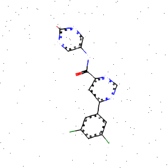 O=C(Nc1cnc(O)nc1)c1cc(-c2cc(F)cc(Cl)c2)ncn1